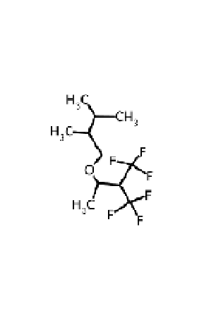 CC(C)C(C)COC(C)C(C(F)(F)F)C(F)(F)F